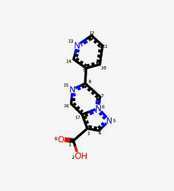 O=C(O)c1cnn2cc(-c3cccnc3)ncc12